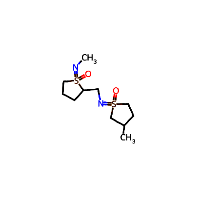 CN=S1(=O)CCCC1CN=S1(=O)CCC(C)C1